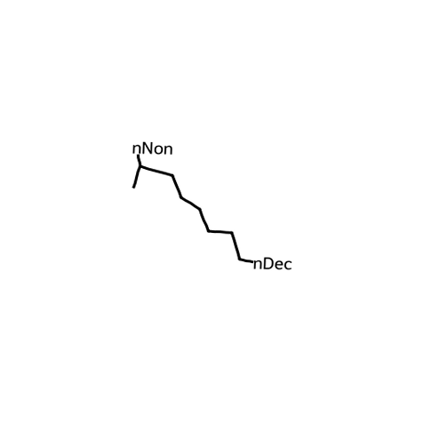 [CH2]CCCCCCCCCCCCCCCC(C)CCCCCCCC[CH2]